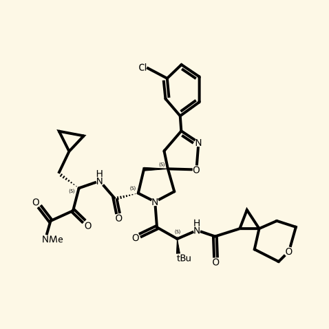 CNC(=O)C(=O)[C@H](CC1CC1)NC(=O)[C@@H]1C[C@]2(CC(c3cccc(Cl)c3)=NO2)CN1C(=O)[C@@H](NC(=O)C1CC12CCOCC2)C(C)(C)C